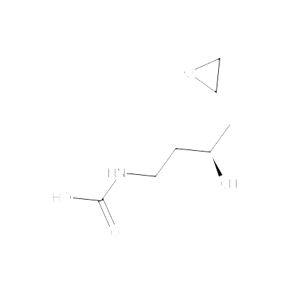 C[C@@H](CCNC(=O)O)C[C@H]1CO1